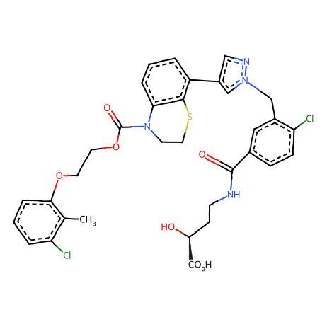 Cc1c(Cl)cccc1OCCOC(=O)N1CCSc2c(-c3cnn(Cc4cc(C(=O)NCC[C@H](O)C(=O)O)ccc4Cl)c3)cccc21